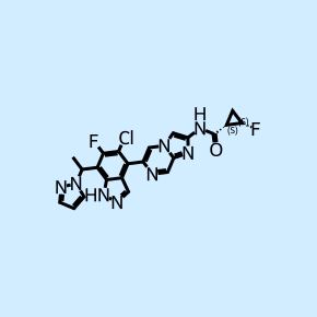 CC(c1c(F)c(Cl)c(-c2cn3cc(NC(=O)[C@@H]4C[C@@H]4F)nc3cn2)c2cn[nH]c12)n1cccn1